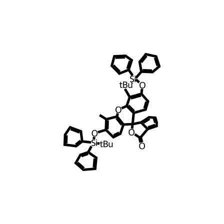 Cc1c(O[Si](c2ccccc2)(c2ccccc2)C(C)(C)C)ccc2c1Oc1c(ccc(O[Si](c3ccccc3)(c3ccccc3)C(C)(C)C)c1C)C21OC(=O)c2ccccc21